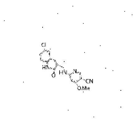 COc1cc(NCc2cc3cc(Cl)ccc3[nH]c2=O)ncc1C#N